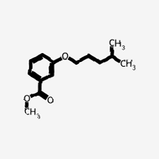 COC(=O)c1cccc(OCCCC(C)C)c1